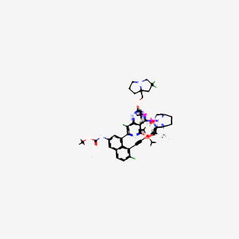 CC(C)[Si](C#Cc1c(F)ccc2cc(NC(=O)OC(C)(C)C)cc(-c3nc4c5c(nc(OCC67CCCN6CC(F)(F)C7)nc5c3F)N3C[C@H]5CC[C@@H]([C@H]3[C@H](C)O4)N5C(=O)OC(C)(C)C)c12)(C(C)C)C(C)C